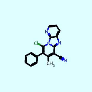 Cc1c(-c2ccccc2)c(Cl)n2c(nc3cccnc32)c1C#N